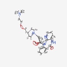 CCN(CC)CCOCCC1CCN(CC(=O)N2c3ccccc3C(=O)Nc3cccnc32)CC1